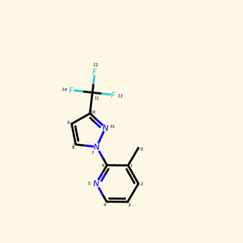 Cc1cccnc1-n1[c]cc(C(F)(F)F)n1